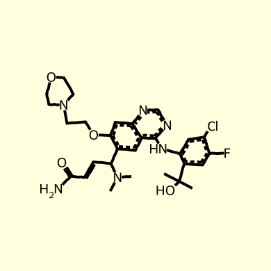 CN(C)C(C=CC(N)=O)c1cc2c(Nc3cc(Cl)c(F)cc3C(C)(C)O)ncnc2cc1OCCN1CCOCC1